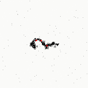 Cn1c(=O)n(C2CCC(=O)NC2=O)c2ccc(CN3CCN(CCO[C@H]4C[C@H](NCc5ccc(-n6cc(NC(=O)c7coc(-c8ccnc(NCC9CC9)c8)n7)c(C(F)F)n6)cc5)C4)CC3)cc21